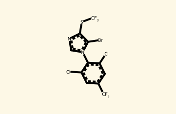 FC(F)(F)Sc1ncn(-c2c(Cl)cc(C(F)(F)F)cc2Cl)c1Br